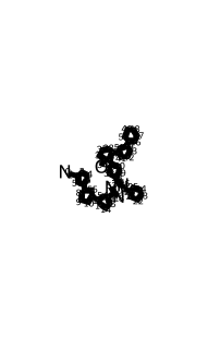 N#Cc1cccc(-c2cccc(-c3cccc(-c4nc(-c5ccccc5)nc(-c5ccc6c(c5)oc5cccc(-c7cccc(-c8ccccc8)c7)c56)n4)c3)c2)c1